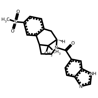 CC1(C)C2CCN(C(=O)c3ccc4nc[nH]c4c3)[C@@H]1Cc1ccc(S(C)(=O)=O)cc12